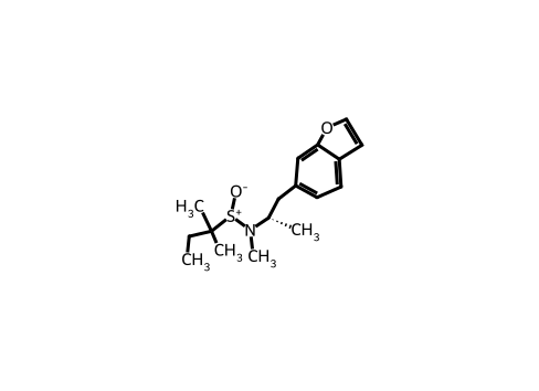 CCC(C)(C)[S+]([O-])N(C)[C@@H](C)Cc1ccc2ccoc2c1